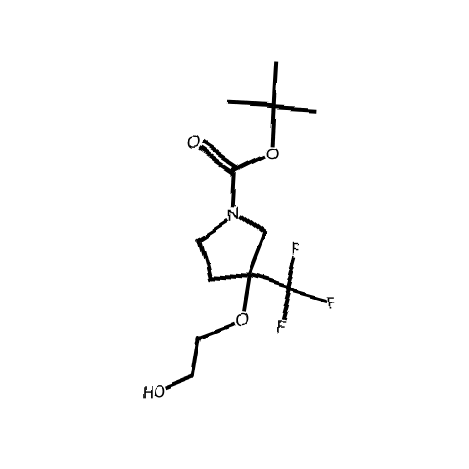 CC(C)(C)OC(=O)N1CCC(OCCO)(C(F)(F)F)C1